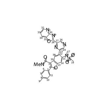 CNC(=O)c1c(-c2ccc(C)cc2)oc2cc(N(C)S(C)(=O)=O)c(-c3cncc(-c4nc5ncccc5o4)n3)cc12